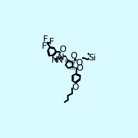 CCCCCOc1ccc(C(=O)[C@H]2CC[C@@H](Cn3nnc4ccc(C(F)(F)F)cc4c3=O)[C@@H]2C(=O)OCC[Si](C)(C)C)cc1